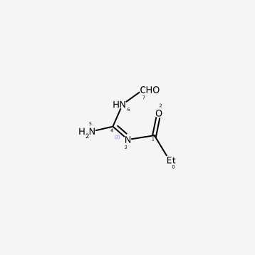 CCC(=O)/N=C(/N)NC=O